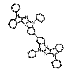 c1ccc(-n2c3ccccc3c3c2nc2n(-c4ccccc4)c4cc(-c5ccc6c(c5)n(-c5ccccc5)c5nc7c(c8ccccc8n7-c7ccccc7)n65)ccc4n32)cc1